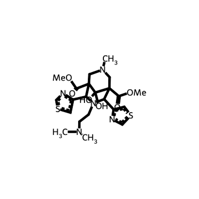 COC(=O)C12CN(C)CC(C(=O)OC)(C(c3cscn3)N(CCN(C)C)C1c1cscn1)C2(O)O